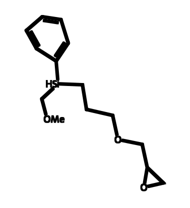 COC[SiH](CCCOCC1CO1)c1ccccc1